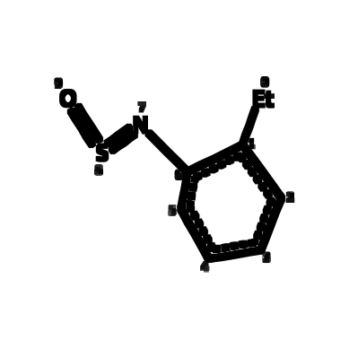 CCc1ccccc1N=S=O